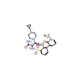 COc1c(-c2cccn(C)c2=O)cccc1S(=O)(=O)N[C@@H](C(N)=O)C(=O)N1CCN(C2CC2)CC1